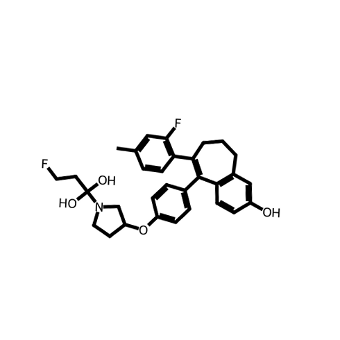 Cc1ccc(C2=C(c3ccc(OC4CCN(C(O)(O)CCF)C4)cc3)c3ccc(O)cc3CCC2)c(F)c1